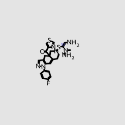 CN(N)/C(=C\N)SN1CCC2=Cc3c(cnn3-c3ccc(F)cc3)CC2(C(=O)c2cscn2)C1